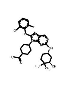 CC1(C)CC[C@@H](Nc2ncc3nc(Nc4c(F)cccc4Cl)n(C4CCC(C(N)=O)CC4)c3n2)C[C@H]1O